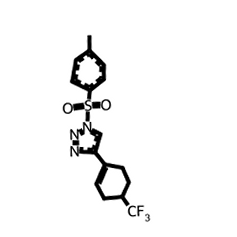 Cc1ccc(S(=O)(=O)n2cc(C3=CCC(C(F)(F)F)CC3)nn2)cc1